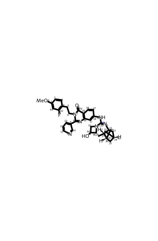 COc1ccc(CCn2c(-c3cccnc3)nc3cc(N/C(=N/C4C[C@@H]5C[C@H]([C@@H]4C)C5(C)C)N4CC(O)C4)ccc3c2=O)c(F)c1